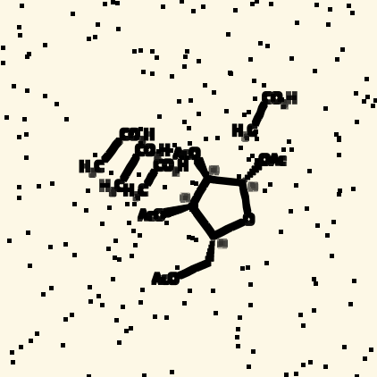 CC(=O)O.CC(=O)O.CC(=O)O.CC(=O)O.CC(=O)OC[C@H]1O[C@@H](OC(C)=O)[C@H](OC(C)=O)[C@@H]1OC(C)=O